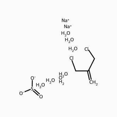 C=C(CCl)CCl.O.O.O.O.O.O.O.O=S([O-])[O-].[Na+].[Na+]